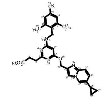 CCOC(=O)CCc1nc(NCc2c(C)cc(C#N)cc2C)cc(OCc2cn3cc(C4CC4)ccc3n2)n1